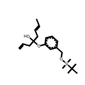 C=CCC(O)(CC=CC)Oc1cccc(CO[Si](C)(C)C(C)(C)C)c1